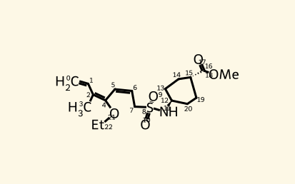 C=C/C(C)=C(\C=C/CS(=O)(=O)N[C@H]1CC[C@H](C(=O)OC)CC1)OCC